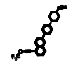 CCCC[C@H]1CC[C@H](c2ccc(-c3ccc4c(C#COC(F)(F)F)cccc4c3)cc2)CC1